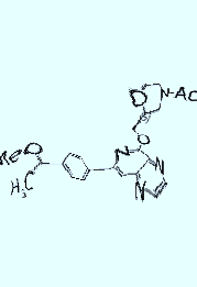 COC(C)c1ccc(-c2cc3nccnc3c(OC[C@@H]3CN(C(C)=O)CCO3)n2)cc1